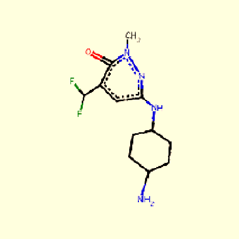 Cn1nc(NC2CCC(N)CC2)cc(C(F)F)c1=O